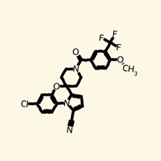 COc1ccc(C(=O)N2CCC3(CC2)Oc2cc(Cl)ccc2-n2c(C#N)ccc23)cc1C(F)(F)F